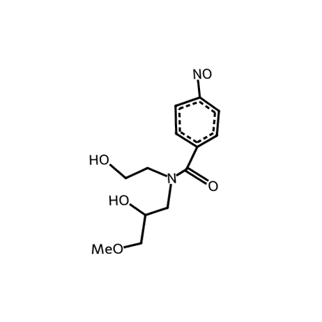 COCC(O)CN(CCO)C(=O)c1ccc(N=O)cc1